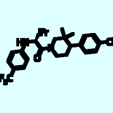 CC(C)[C@@H](Nc1ccc(C(F)(F)F)cc1)C(=O)N1CCC(c2ccc(Cl)cc2)C(C)(C)C1